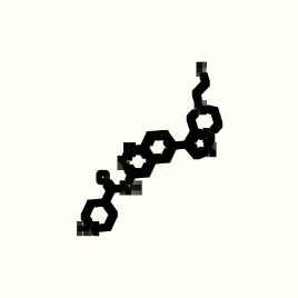 O=C(Nc1cc2cc(-c3cnn4c3CN(CCF)CC4)ccc2nn1)C1CCNCC1